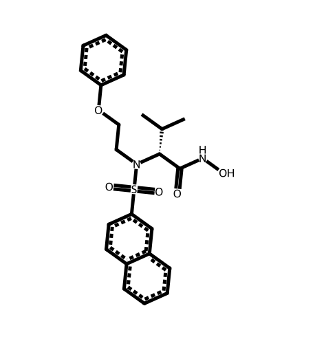 CC(C)[C@H](C(=O)NO)N(CCOc1ccccc1)S(=O)(=O)c1ccc2ccccc2c1